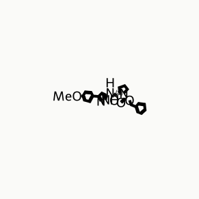 COc1ccc(-c2cc(NC(=O)[C@@H]3CCCN3C(=O)OCc3ccccc3)[nH]n2)cc1